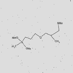 CNCC(C)COCCC[Si](C)(OC)OC